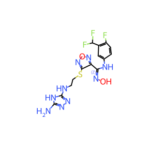 Nc1nnc(NCCSc2nonc2/C(=N/O)Nc2ccc(F)c(C(F)F)c2)[nH]1